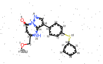 CC(C)(C)OCc1cc(=O)n2ncc(-c3ccc(Sc4ccccc4)cc3)c2[nH]1